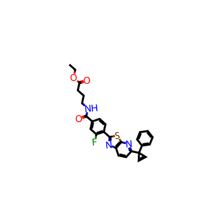 CCOC(=O)CCCNC(=O)c1ccc(-c2nc3ccc(C4(c5ccccc5)C=C4)nc3s2)c(F)c1